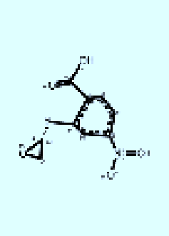 O=C(O)c1ccc([N+](=O)[O-])cc1C[C@@H]1CO1